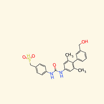 Cc1cc(NC(=O)Nc2ccc(C[SH](=O)=O)cc2)cc(C)c1-c1cccc(CO)c1